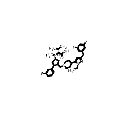 CCn1nc(Cc2cc(F)cc(F)c2)cc1C1CCN(CC2CC(N(C)[C@@H](C(=O)O)C(C)C)CC2c2cccc(F)c2)CC1